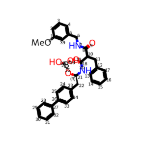 COc1cccc(CNC(=O)C(Cc2ccccc2)C(=O)N[C@@H](Cc2ccc(-c3ccccc3)cc2)OB(O)O)c1